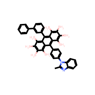 Bc1c(B)c(B)c2c(-c3cccc(-c4ccccc4)c3)c3c(B)c(B)c(B)c(B)c3c(-c3ccc(-n4c(C)nc5ccccc54)cc3)c2c1B